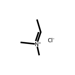 CC=[N+](C)C.[Cl-]